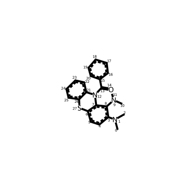 CN(C)c1ccc2c(c1N(C)C)N(C(=O)c1ccccc1)c1ccccc1S2